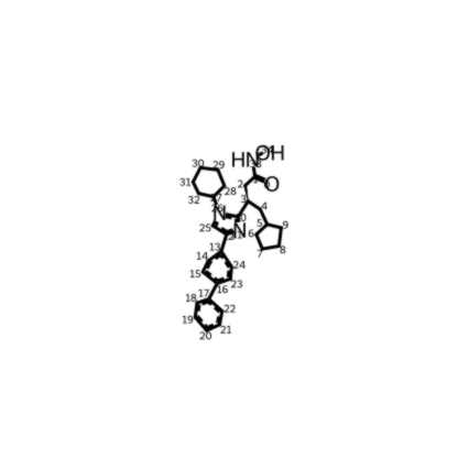 O=C(C[C@@H](CC1CCCC1)c1nc(-c2ccc(-c3ccccc3)cc2)cn1C1CCCCC1)NO